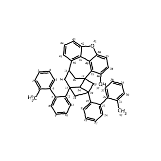 Cc1ccccc1-c1ccccc1C12CC3CC4(CC(c5ccccc5-c5ccccc5C)(C1)C24)c1c(O)ccc2oc4cccc3c4c12